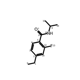 CCc1ccc(C(=O)NC(C)C)c(F)c1